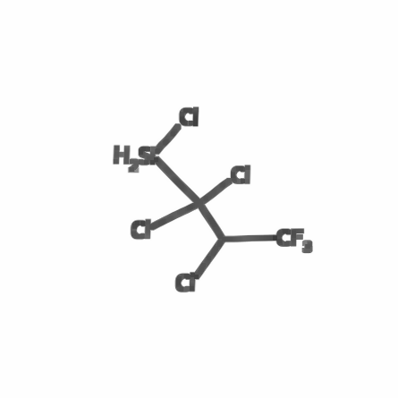 FC(F)(F)C(Cl)C(Cl)(Cl)[SiH2]Cl